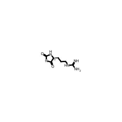 N=C(N)NCCC[C@@H]1NC(=O)[N]C1=O